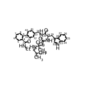 CCNC(=O)c1ccccc1-c1ccc(CNC(=O)C(Cc2c[nH]c3ccccc23)NC(=O)CC(C)(C)NCC(C)O)cc1